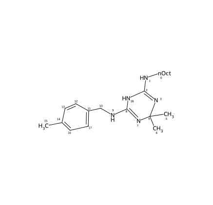 CCCCCCCCNC1=NC(C)(C)N=C(NCc2ccc(C)cc2)N1